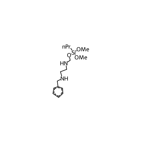 CCC[Si](OC)(OC)OCNCCNCc1ccccc1